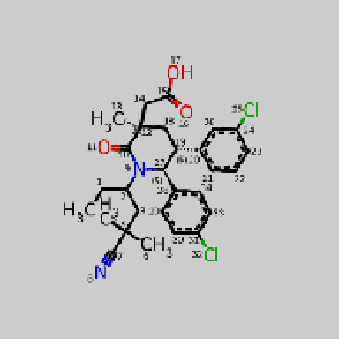 CCC(CC(C)(C)C#N)N1C(=O)[C@@](C)(CC(=O)O)C[C@H](c2cccc(Cl)c2)[C@H]1c1ccc(Cl)cc1